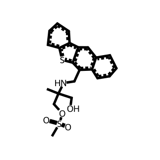 CC(CO)(COS(C)(=O)=O)NCc1c2ccccc2cc2c1sc1ccccc12